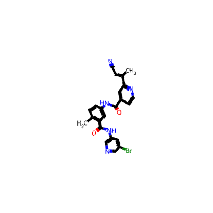 Cc1ccc(NC(=O)c2ccnc(C(C)CC#N)c2)cc1C(=O)Nc1cncc(Br)c1